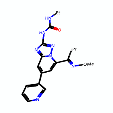 CCNC(=O)Nc1nc2cc(-c3cccnc3)cc(/C(=N/OC)C(C)C)n2n1